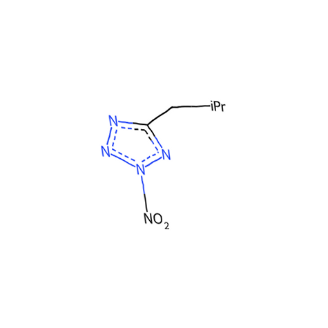 CC(C)Cc1nnn([N+](=O)[O-])n1